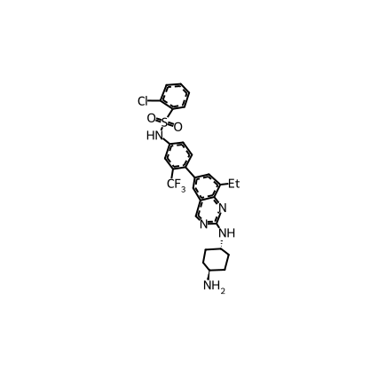 CCc1cc(-c2ccc(NS(=O)(=O)c3ccccc3Cl)cc2C(F)(F)F)cc2cnc(N[C@H]3CC[C@H](N)CC3)nc12